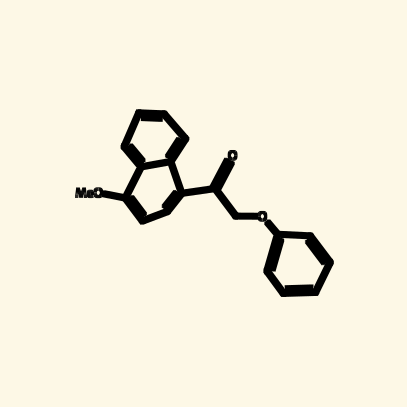 COc1ccc(C(=O)COc2ccccc2)c2ccccc12